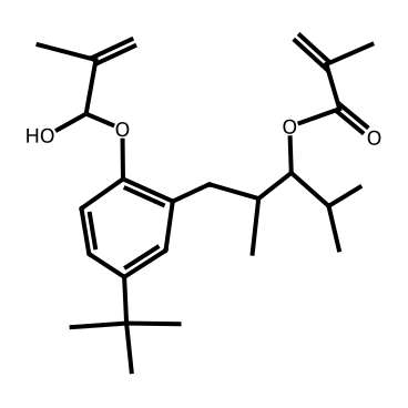 C=C(C)C(=O)OC(C(C)C)C(C)Cc1cc(C(C)(C)C)ccc1OC(O)C(=C)C